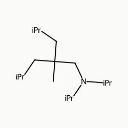 CC(C)CC(C)(CC(C)C)CN(C(C)C)C(C)C